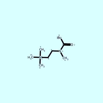 CCC(C)C(=O)N(C)CC[N+](C)(C)C